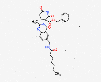 CCCCCCC(=O)NCc1ccc2nc(C)n([C@@]3(C(=O)OCc4ccccc4)CCC(=O)NC3=O)c(=O)c2c1